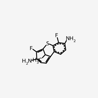 CC1C2=CC=C(N)C(F)=C1Sc1c2ccc(N)c1F